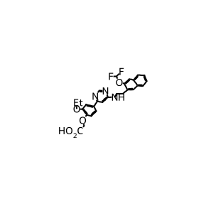 CCOc1cc(-c2cc(NCCc3cc4ccccc4cc3OC(F)F)ncn2)ccc1OCC(=O)O